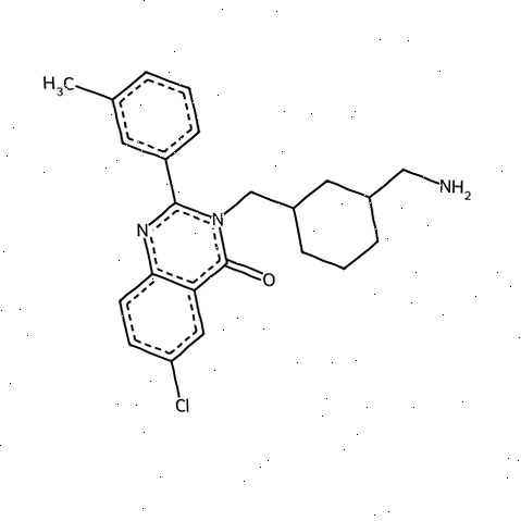 Cc1cccc(-c2nc3ccc(Cl)cc3c(=O)n2CC2CCCC(CN)C2)c1